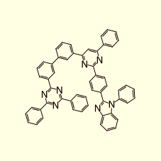 c1ccc(-c2cc(-c3cccc(-c4cccc(-c5nc(-c6ccccc6)nc(-c6ccccc6)n5)c4)c3)nc(-c3ccc(-c4nc5ccccc5n4-c4ccccc4)cc3)n2)cc1